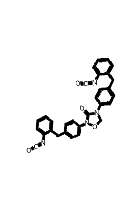 O=C=Nc1ccccc1Cc1ccc(N2CON(c3ccc(Cc4ccccc4N=C=O)cc3)C2=O)cc1